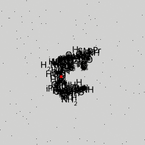 CCCNC(=O)CNC(=O)[C@H](Cc1c[nH]c2ccccc12)NC(=O)[C@H](CCSC)NC(=O)CNC(=O)CNC(=O)[C@H](Cc1ccc(O)cc1)NC(=O)[C@H](Cc1cccc(CC)c1)NC(=O)[C@H](CCCNC(=N)N)NC(=O)CNC(=O)[C@H](CO)NC(=O)[C@H](CCCCN)NC(=O)CNC(=O)C(NC(=O)[C@H](CCCCN)NC(=O)C(NC(=O)CNC(=O)[C@H](CCC)NC(=O)CNC(=O)[C@@H]1CCCN1)C(C)C)C(C)C